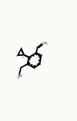 C=[C]c1cccc(CO)c1C1CC1